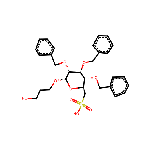 O=S(=O)(O)C[C@H]1O[C@H](OCCCO)[C@H](OCc2ccccc2)[C@@H](OCc2ccccc2)[C@@H]1OCc1ccccc1